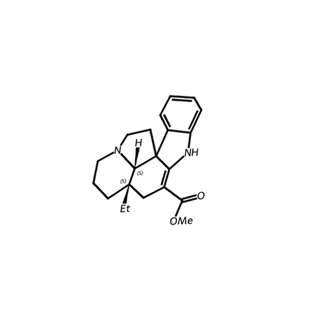 CC[C@]12CCCN3CCC4(C(=C(C(=O)OC)C1)Nc1ccccc14)[C@@H]32